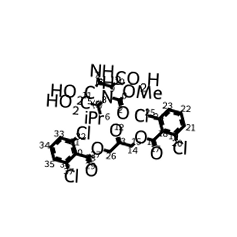 COC(=O)N[C@H](C(=O)O)C(C)C.N[C@@H](CC(=O)O)C(=O)O.O=C(COC(=O)c1c(Cl)cccc1Cl)COC(=O)c1c(Cl)cccc1Cl